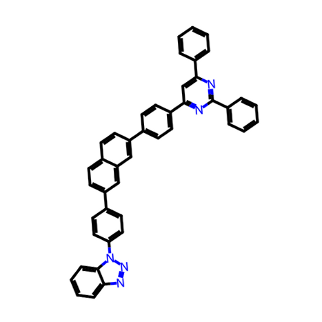 c1ccc(-c2cc(-c3ccc(-c4ccc5ccc(-c6ccc(-n7nnc8ccccc87)cc6)cc5c4)cc3)nc(-c3ccccc3)n2)cc1